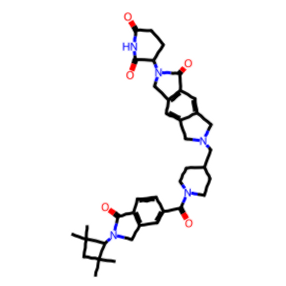 CC1(C)CC(C)(C)C1N1Cc2cc(C(=O)N3CCC(CN4Cc5cc6c(cc5C4)C(=O)N(C4CCC(=O)NC4=O)C6)CC3)ccc2C1=O